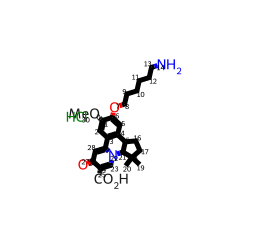 COc1cc2c(cc1OCCCCCCN)C1CCC(C)(C)C1n1cc(C(=O)O)c(=O)cc1-2.Cl